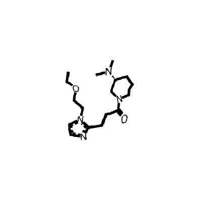 CCOCCn1ccnc1CCC(=O)N1CCC[C@@H](N(C)C)C1